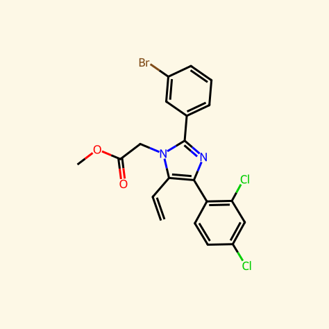 C=Cc1c(-c2ccc(Cl)cc2Cl)nc(-c2cccc(Br)c2)n1CC(=O)OC